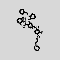 Cc1cccc(C)c1NC(=O)c1cnc(Nc2ccc(OCCCN3CCCCC3)c(F)c2)nc1Oc1ccccc1OCc1ccccc1